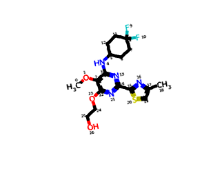 COc1c(NC2CCC(F)(F)CC2)nc(-c2nc(C)cs2)nc1OCCO